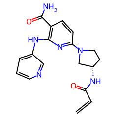 C=CC(=O)N[C@H]1CCN(c2ccc(C(N)=O)c(Nc3cccnc3)n2)C1